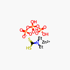 CCN(CC)C(=S)S.O=P([O-])([O-])OP(=O)(O)OP(=O)(O)O.[Zn+2]